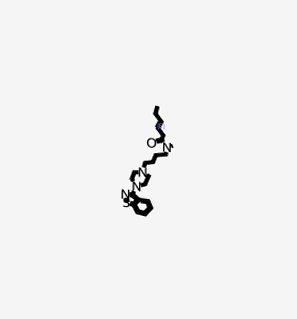 CC/C=C/CC(=O)N(C)CCCCN1CCN(c2nsc3ccccc23)CC1